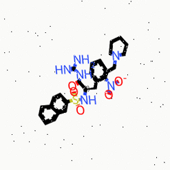 N=C(N)NC(=O)[C@@H](Cc1cccc(CN2CCCCC2)c1[N+](=O)[O-])NS(=O)(=O)c1ccc2ccccc2c1